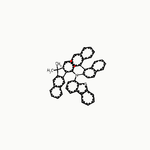 CC1(C)c2cc3ccccc3cc2-c2c(N(c3ccc4ccccc4c3-c3cccc4ccccc34)c3cccc4c3sc3ccccc34)cccc21